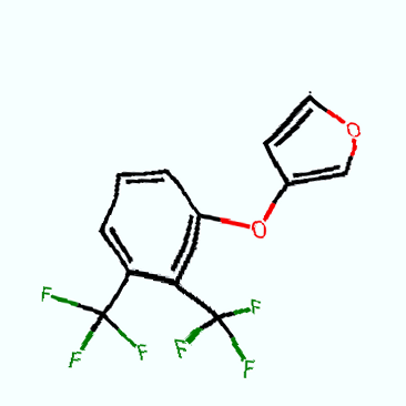 FC(F)(F)c1cccc(Oc2c[c]oc2)c1C(F)(F)F